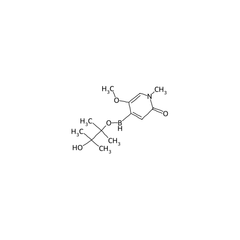 COc1cn(C)c(=O)cc1BOC(C)(C)C(C)(C)O